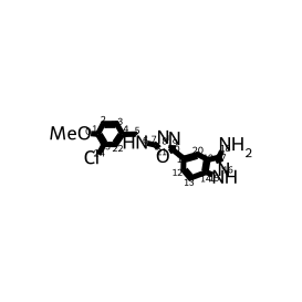 COc1ccc(CNc2nnc(-c3ccc4[nH]nc(N)c4c3)o2)cc1Cl